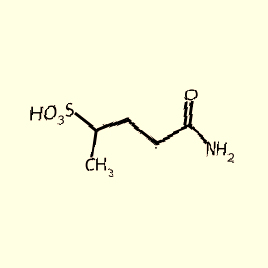 CC(C[CH]C(N)=O)S(=O)(=O)O